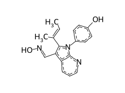 C/C=C(\C)c1c(C=NO)c2cccnc2n1-c1ccc(O)cc1